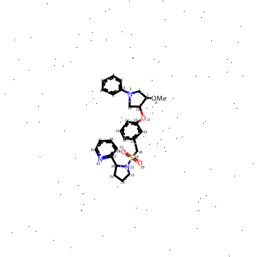 COC1CN(c2ccccc2)CC1Oc1cccc(CS(=O)(=O)N2CCCC2c2ccccn2)c1